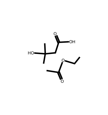 CC(C)(O)CC(=O)O.CCOC(C)=O